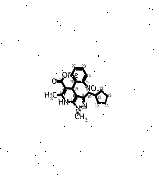 COC(=O)C1=C(C)Nc2c(c(CC3CCCC3)nn2C)C1c1ccccc1[N+](=O)[O-]